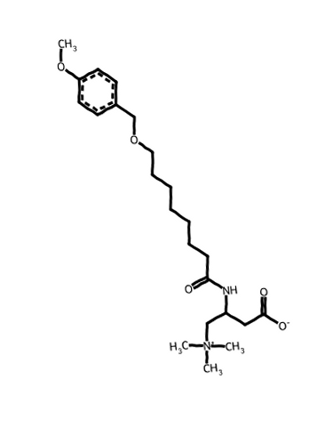 COc1ccc(COCCCCCCCC(=O)NC(CC(=O)[O-])C[N+](C)(C)C)cc1